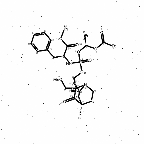 CCC(=O)O[C@@H](OP(=O)(N[C@@H](Cc1ccccc1)C(=O)OC(C)C)OC[C@]1(COC)C(=O)[C@@H]2CCN1[C@@H](C)C2)C(C)C